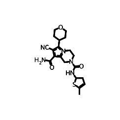 CC1=CCC(NC(=O)N2CCn3c(c(C(N)=O)c(C#N)c3C3CCOCC3)C2)S1